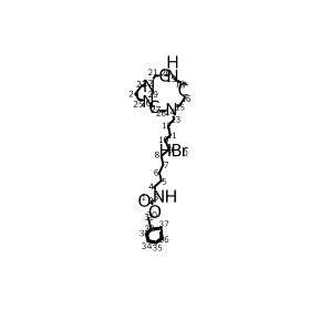 Br.O=C(NCCCCCCCCCCN1CCCCNCCN2CCCN(CC1)C2)OCc1ccccc1